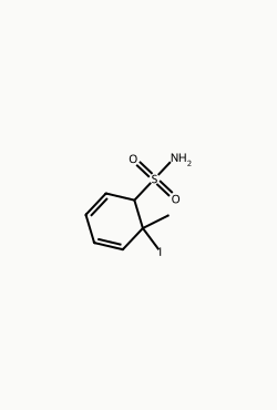 CC1(I)C=CC=CC1S(N)(=O)=O